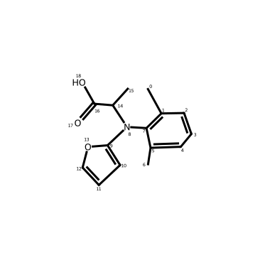 Cc1cccc(C)c1N(c1ccco1)C(C)C(=O)O